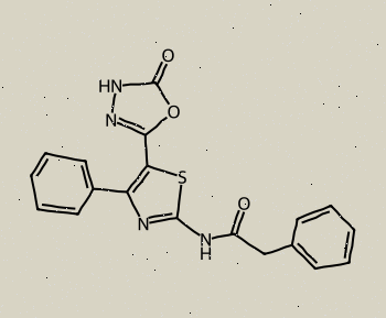 O=C(Cc1ccccc1)Nc1nc(-c2ccccc2)c(-c2n[nH]c(=O)o2)s1